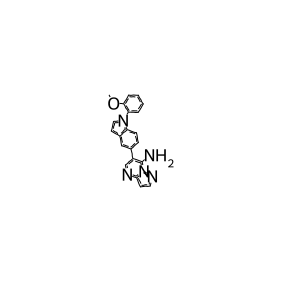 COc1ccccc1-n1ccc2cc(-c3cnc4ccnn4c3N)ccc21